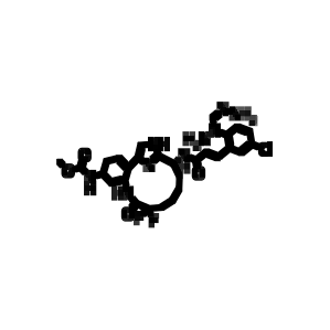 COC(=O)NC1C=C2NC(=O)C(F)(F)CCCC[C@H](NC(=O)/C=C/c3cc(Cl)ccc3N(N)/C=N\N)c3nc(c[nH]3)C2=CC1